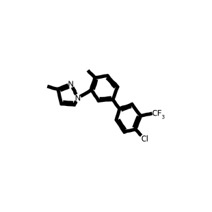 Cc1ccn(-c2cc(-c3ccc(Cl)c(C(F)(F)F)c3)ccc2C)n1